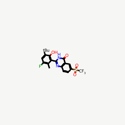 Cc1c(F)cc(C(C)(C)C)c(O)c1-c1nc2ccc(S(=O)(=O)C(F)(F)F)cc2c(=O)[nH]1